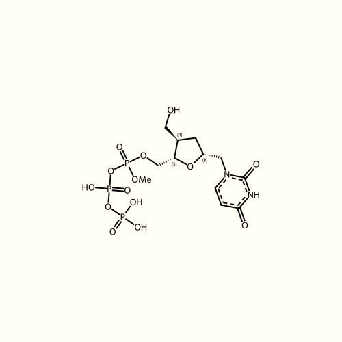 COP(=O)(OC[C@H]1O[C@@H](Cn2ccc(=O)[nH]c2=O)C[C@@H]1CO)OP(=O)(O)OP(=O)(O)O